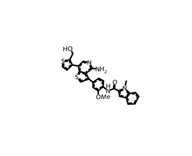 COc1cc(-c2csc3c(-c4ccsc4CO)cnc(N)c23)ccc1NC(=O)c1cc2ccccc2n1C